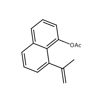 C=C(C)c1cccc2cccc(OC(C)=O)c12